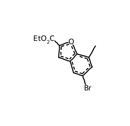 CCOC(=O)c1cc2cc(Br)cc(C)c2o1